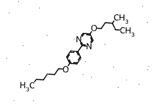 CCCCCCOc1ccc(-c2ncc(OCCC(C)CC)cn2)cc1